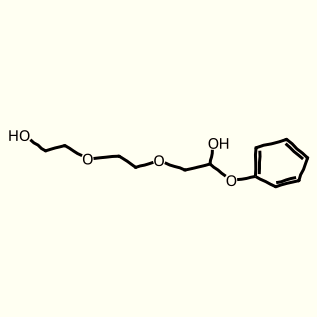 OCCOCCOCC(O)Oc1ccccc1